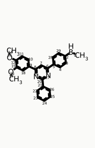 CBc1ccc(-c2cc(-c3ccc(OC)c(OC)c3)nc(-c3ccccc3)n2)cc1